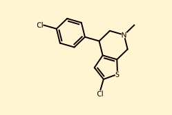 CN1Cc2sc(Cl)cc2C(c2ccc(Cl)cc2)C1